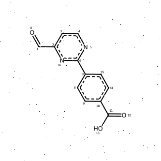 O=Cc1ccnc(-c2ccc(C(=O)O)cc2)n1